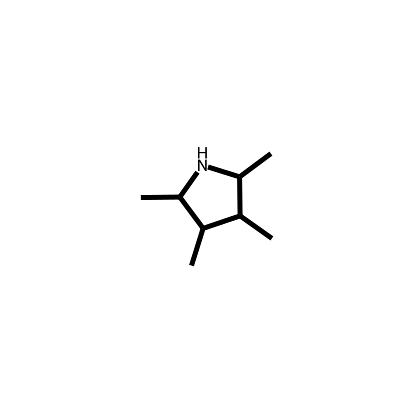 CC1NC(C)C(C)C1C